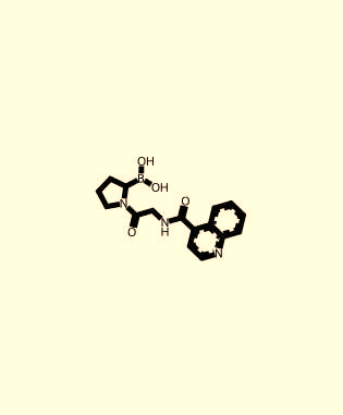 O=C(NCC(=O)N1CCCC1B(O)O)c1ccnc2ccccc12